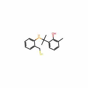 Cc1cccc(C(C)(C)Pc2ccccc2CS)c1O